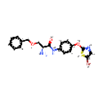 N[C@@H](COCc1ccccc1)C(=O)Nc1ccc(Oc2ncc(Br)s2)cc1